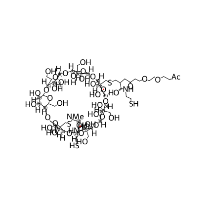 CN[C@H](CSCC1OC2O[C@@H]3C(CO)OC(O[C@@H]4C(CO)O[C@H](O[C@@H]5C(CO)O[C@@H](O[C@@H]6C(CSCC(CC(=O)CCOCCOCCC(C)=O)C(=O)NCCS)O[C@@H](O[C@@H]7C(CO)O[C@@H](O[C@@H]8C(CO)O[C@@H](O[C@H]1[C@H](O)[C@@H]2O)C(O)[C@H]8O)C(O)[C@H]7O)C(O)[C@H]6O)C(O)[C@H]5O)C(O)[C@H]4O)[C@@H](O)[C@H]3O)C(=O)NCCS